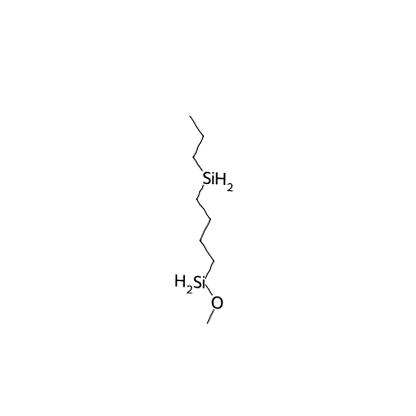 CCC[SiH2]CCCC[SiH2]OC